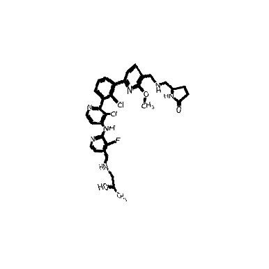 COc1nc(-c2cccc(-c3nccc(Nc4nccc(CNCC(C)O)c4F)c3Cl)c2Cl)ccc1CNCC1CCC(=O)N1